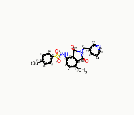 Cc1ccc(NS(=O)(=O)c2ccc(C(C)(C)C)cc2)c2c1C(=O)N(Cc1cccnc1)C2=O